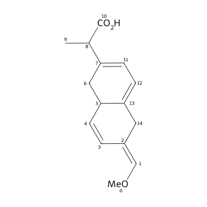 COC=C1C=CC2CC(C(C)C(=O)O)=CC=C2C1